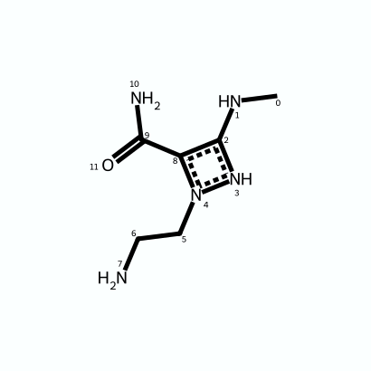 CNc1[nH]n(CCN)c1C(N)=O